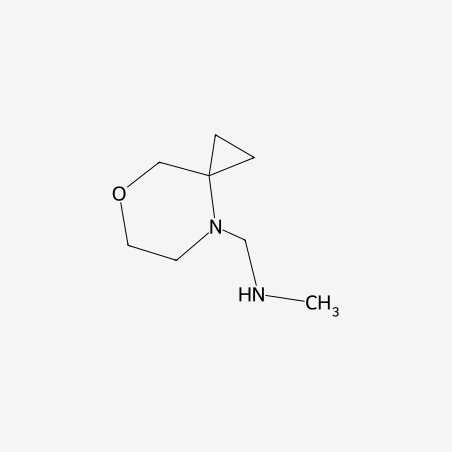 CNCN1CCOCC12CC2